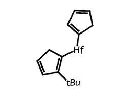 CC(C)(C)C1=[C]([Hf][C]2=CC=CC2)CC=C1